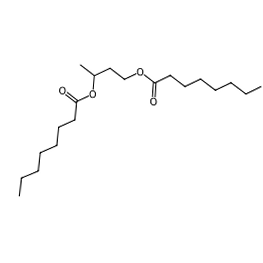 CCCCCCCC(=O)OCCC(C)OC(=O)CCCCCCC